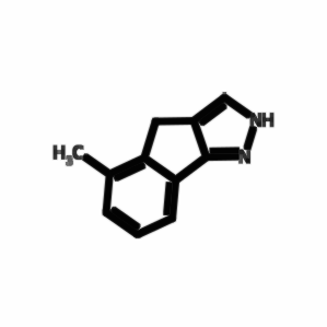 Cc1cccc2c1Cc1[c][nH]nc1-2